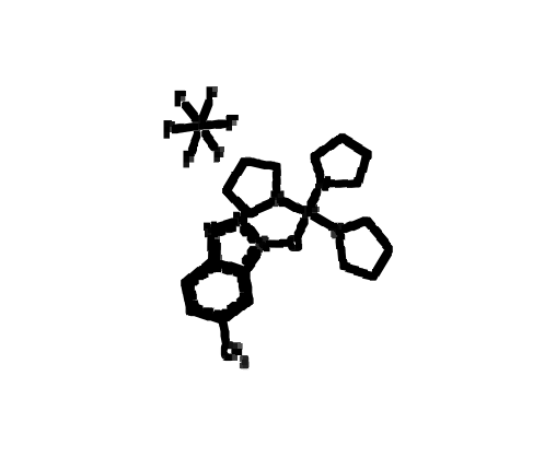 FC(F)(F)c1ccc2nnn(O[P+](N3CCCC3)(N3CCCC3)N3CCCC3)c2c1.F[P-](F)(F)(F)(F)F